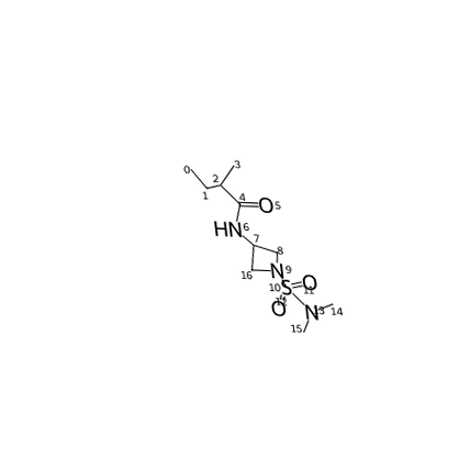 CCC(C)C(=O)NC1CN(S(=O)(=O)N(C)C)C1